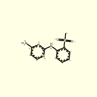 CS(=O)(=O)c1ccccc1Nc1nccc(N)n1